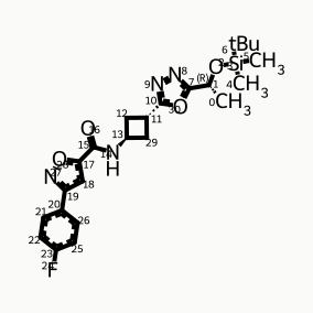 C[C@@H](O[Si](C)(C)C(C)(C)C)c1nnc([C@H]2C[C@H](NC(=O)c3cc(-c4ccc(F)cc4)no3)C2)o1